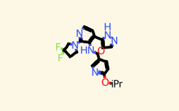 CC(C)Oc1ccc(C(=O)Nc2c(-c3ccn[nH]3)ccnc2N2CCC(F)(F)C2)cn1